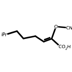 CC(C)CCCC=C(OC#N)C(=O)O